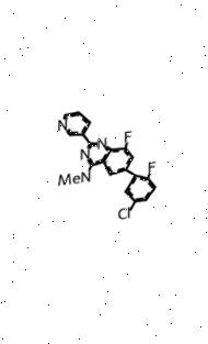 CNc1nc(-c2cccnc2)nc2c(F)cc(-c3cc(Cl)ccc3F)cc12